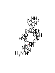 CC[C@H]1[C@H](n2cnc3c(N)ncnc32)O[C@]2(CC)COP(=O)(S)O[C@@H]3[C@@H](F)[C@@H](COP(=O)(S)O[C@@H]12)O[C@H]3n1cnc2c(N)ncnc21